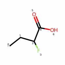 [CH2]CC(F)C(=O)O